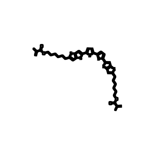 C=C(C)C(=O)OCCCCCCc1cc2sc(-c3ccc(-c4ccc(-c5cc6sc(CCCCCCOC(=O)C(=C)C)cc6s5)s4)s3)cc2s1